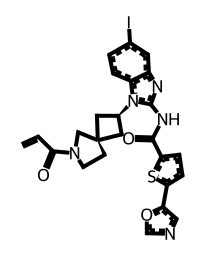 C=CC(=O)N1CC[C@]2(C1)C[C@H](n1c(NC(=O)c3ccc(-c4cnco4)s3)nc3cc(I)ccc31)C2